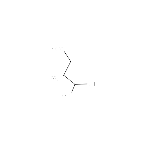 CCCCCCCC(C)C(=O)O.[MgH2]